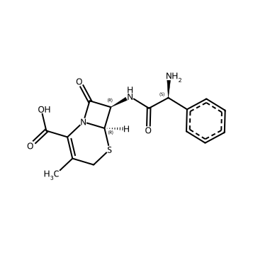 CC1=C(C(=O)O)N2C(=O)[C@@H](NC(=O)[C@@H](N)c3ccccc3)[C@H]2SC1